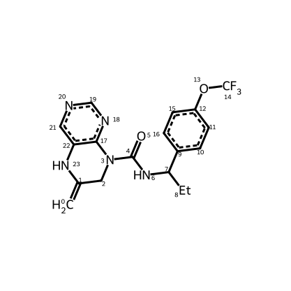 C=C1CN(C(=O)NC(CC)c2ccc(OC(F)(F)F)cc2)c2ncncc2N1